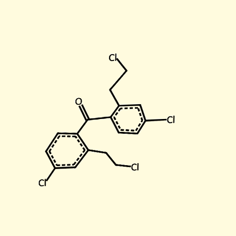 O=C(c1ccc(Cl)cc1CCCl)c1ccc(Cl)cc1CCCl